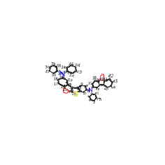 Cc1cccc(N(c2ccc3c(c2)sc2oc4ccc(N(c5ccccc5)c5ccccc5)cc4c23)c2ccc3oc4ccccc4c3c2)c1